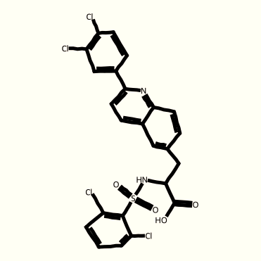 O=C(O)C(Cc1ccc2nc(-c3ccc(Cl)c(Cl)c3)ccc2c1)NS(=O)(=O)c1c(Cl)cccc1Cl